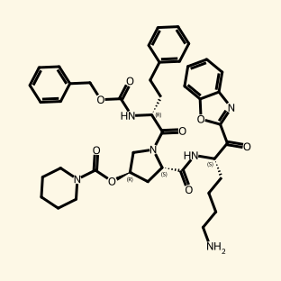 NCCCC[C@H](NC(=O)[C@@H]1C[C@@H](OC(=O)N2CCCCC2)CN1C(=O)[C@@H](CCc1ccccc1)NC(=O)OCc1ccccc1)C(=O)c1nc2ccccc2o1